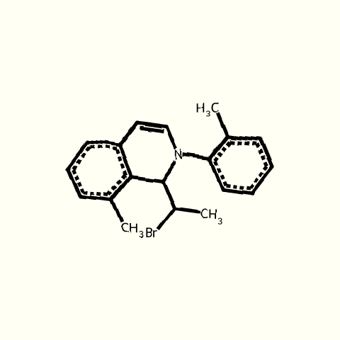 Cc1ccccc1N1C=Cc2cccc(C)c2C1C(C)Br